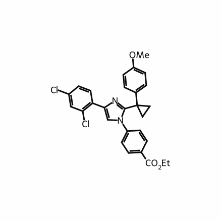 CCOC(=O)c1ccc(-n2cc(-c3ccc(Cl)cc3Cl)nc2C2(c3ccc(OC)cc3)CC2)cc1